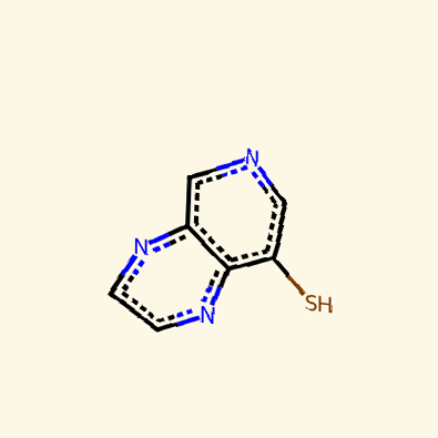 Sc1cncc2nccnc12